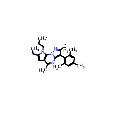 [CH2]CCn1c(CC)cc2c(C)nc3c(-c4c(C)cc(C)cc4C)c(C)nn3c21